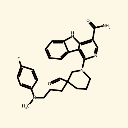 CN(CCCC1(C=O)CCCN(c2ncc(C(N)=O)c3[nH]c4ccccc4c23)C1)c1ccc(F)cc1